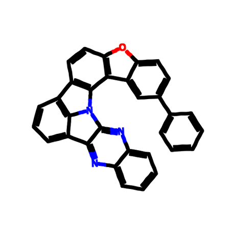 c1ccc(-c2ccc3oc4ccc5c6cccc7c8nc9ccccc9nc8n(c67)c5c4c3c2)cc1